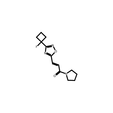 O=C(/C=C/c1nc(C2(F)CCC2)no1)N1CCCC1